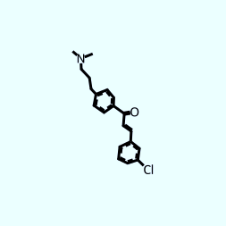 CN(C)CCCc1ccc(C(=O)C=Cc2cccc(Cl)c2)cc1